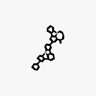 C=c1ccccn2c3ccccc3c3cc(-c4ccc5c(c4)c4cccc6c7cc(-c8ccccc8)ccc7n5c64)cc1c32